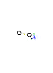 ClC1=NNC(Cl)c2ccc(SCc3ccccc3)cc21